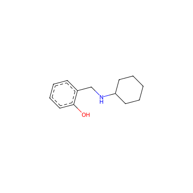 Oc1ccccc1CNC1CCCCC1